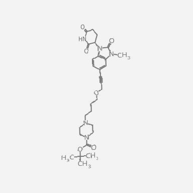 Cn1c(=O)n(C2CCC(=O)NC2=O)c2ccc(C#CCOCCCCN3CCN(C(=O)OC(C)(C)C)CC3)cc21